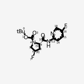 CC(C)(C)OC(=O)N1C[C@H](F)C[C@H]1C(=O)Nc1ccc(F)cn1